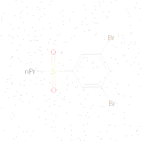 CCCS(=O)(=O)c1cc(Br)[c]c(Br)c1